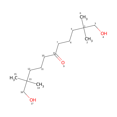 CC(C)(CO)CCCC(=O)CCCC(C)(C)CO